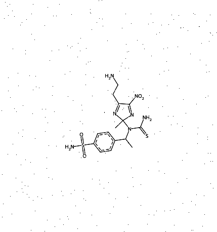 CC(c1ccc(S(N)(=O)=O)cc1)N(C(N)=S)C1(C)N=C(CCN)C([N+](=O)[O-])=N1